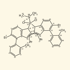 CCc1ccc2c(c1-c1ccccc1C)C=C(CC(C)C)[CH]2[Zr]([Cl])([Cl])([CH]1C(CC(C)C)=Cc2c1ccc(CC)c2-c1ccccc1C)[SiH](C)C